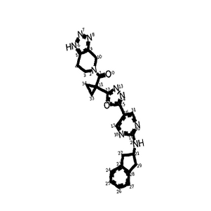 O=C(N1CCc2[nH]nnc2C1)C1(c2nnc(-c3cnc(NC4Cc5ccccc5C4)nc3)o2)CC1